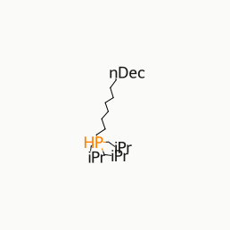 CCCCCCCCCCCCCCCCCC[PH](CC(C)C)(CC(C)C)CC(C)C